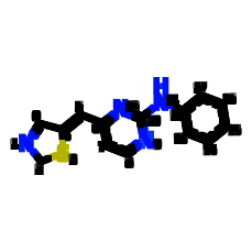 C1=NCS/C1=C\c1ccnc(Nc2ccccc2)n1